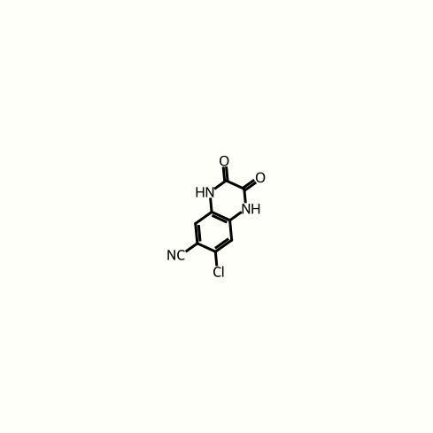 N#Cc1cc2[nH]c(=O)c(=O)[nH]c2cc1Cl